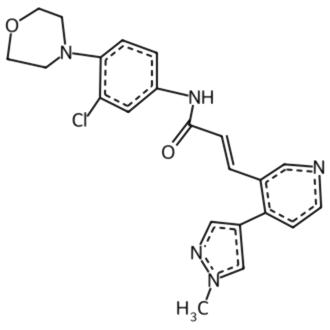 Cn1cc(-c2ccncc2C=CC(=O)Nc2ccc(N3CCOCC3)c(Cl)c2)cn1